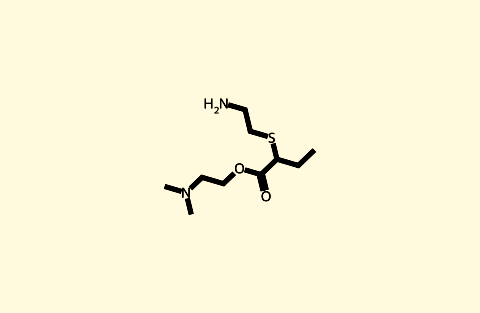 CCC(SCCN)C(=O)OCCN(C)C